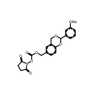 COc1cccc(C2OCc3cc(COC(=O)ON4C(=O)CCC4=O)ccc3O2)c1